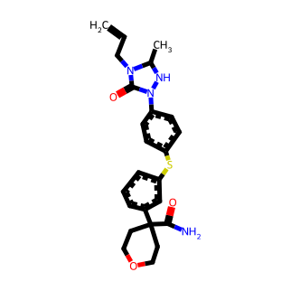 C=CCN1C(=O)N(c2ccc(Sc3cccc(C4(C(N)=O)CCOCC4)c3)cc2)NC1C